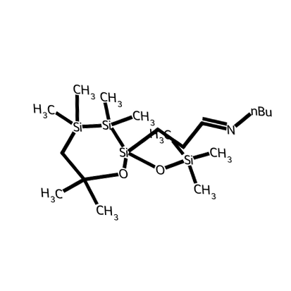 CCCCN=CCC[Si]1(O[Si](C)(C)C)OC(C)(C)C[Si](C)(C)[Si]1(C)C